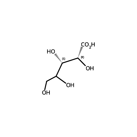 O=C(O)[C@H](O)[C@@H](O)C(O)CO